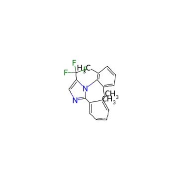 Cc1ccccc1-c1ncc(C(F)(F)F)n1-c1c(C)cccc1C